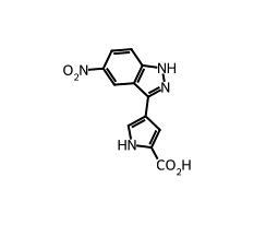 O=C(O)c1cc(-c2n[nH]c3ccc([N+](=O)[O-])cc23)c[nH]1